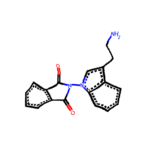 NCCc1cn(N2C(=O)c3ccccc3C2=O)c2ccccc12